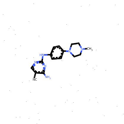 [C-]#[N+]c1cnc(Nc2ccc(N3CCN(C)CC3)cc2)nc1N